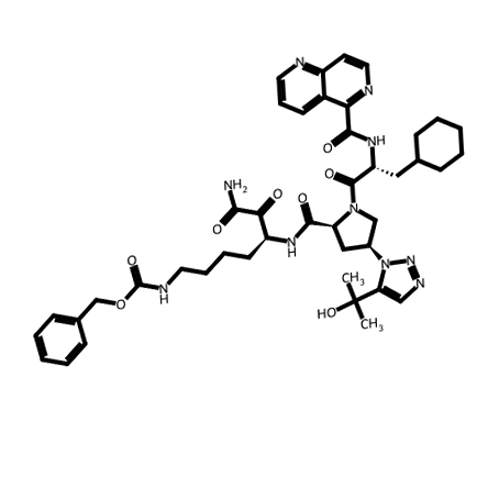 CC(C)(O)c1cnnn1[C@H]1C[C@@H](C(=O)N[C@@H](CCCCNC(=O)OCc2ccccc2)C(=O)C(N)=O)N(C(=O)[C@@H](CC2CCCCC2)NC(=O)c2nccc3ncccc23)C1